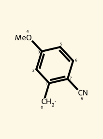 [CH2]c1cc(OC)ccc1C#N